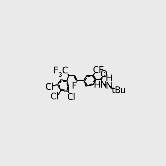 CC(C)(C)NNC(=O)c1ccc(C(F)=CC(c2cc(Cl)c(Cl)c(Cl)c2)C(F)(F)F)cc1C(F)(F)F